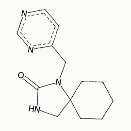 O=C1NCC2(CCCCC2)N1Cc1ccncn1